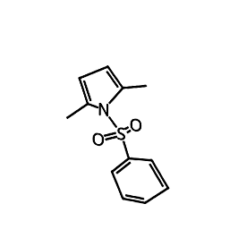 Cc1ccc(C)n1S(=O)(=O)c1ccccc1